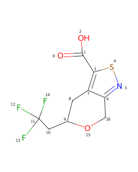 O=C(O)c1snc2c1CC(CC(F)(F)F)OC2